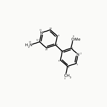 COc1ncc(C)cc1-c1ccnc(N)c1